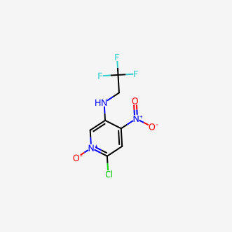 O=[N+]([O-])c1cc(Cl)[n+]([O-])cc1NCC(F)(F)F